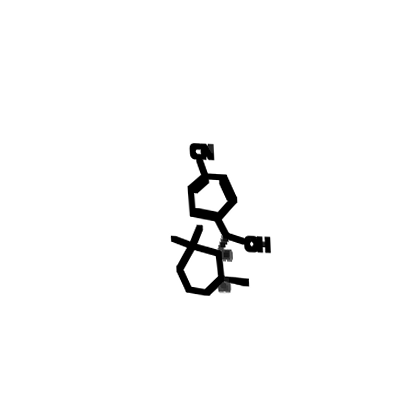 C[C@H]1CCCC(C)(C)[C@@H]1C(O)c1ccc(C#N)cc1